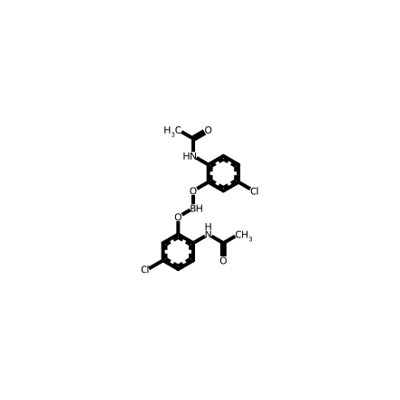 CC(=O)Nc1ccc(Cl)cc1OBOc1cc(Cl)ccc1NC(C)=O